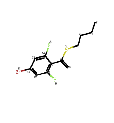 C=C(SCCCC)c1c(F)cc(Br)cc1F